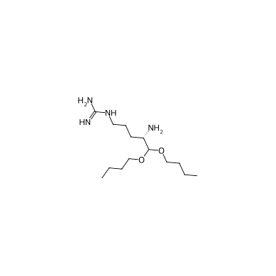 CCCCOC(OCCCC)[C@@H](N)CCCNC(=N)N